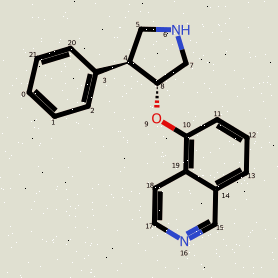 c1ccc([C@H]2CNC[C@@H]2Oc2cccc3cnccc23)cc1